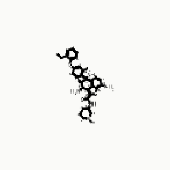 CCc1ccccc1Oc1ccc(C2(N)C(=O)C(N)c3c(C(=O)NC4CCCN(C)C4)sc4c(N)ccc2c34)c(C)c1